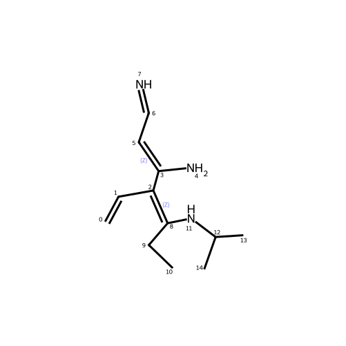 C=CC(/C(N)=C/C=N)=C(\CC)NC(C)C